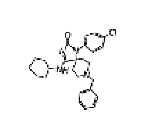 O=C1N=C(NC2CCCCC2)C2(CCN(Cc3ccccc3)CC2)N1c1ccc(Cl)cc1